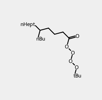 CCCCCCCC(CCCC)CCCC(=O)OOOOC(C)(C)C